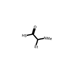 CCC(NC)C(=O)S